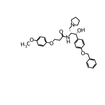 COc1ccc(OCCC(=O)N[C@H](CN2CCCC2)[C@H](O)c2ccc(OCc3ccccc3)cc2)cc1